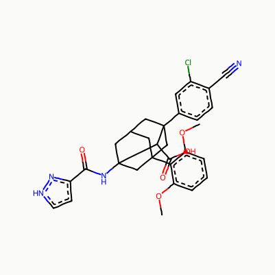 COc1cccc(OC)c1C12CC3CC(NC(=O)c4cc[nH]n4)(C1)C(C(=O)O)C(c1ccc(C#N)c(Cl)c1)(C3)C2